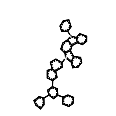 c1ccc(-c2cc(-c3ccccc3)cc(-c3ccc4ccc(-n5c6ccccc6c6c7c8ccccc8n(-c8ccccc8)c7ccc65)cc4c3)c2)cc1